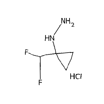 Cl.NNC1(C(F)F)CC1